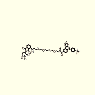 Cn1nc2c3cc(C(=O)NCCOCCOCCOCCOCCNc4cccc5c4C(=O)N(C4CCC(=O)NC4=O)C5=O)ccc3n(-c3ccc(C(F)(F)F)cc3)c2n1